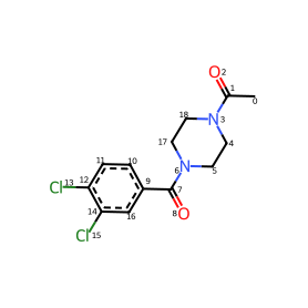 CC(=O)N1CCN(C(=O)c2ccc(Cl)c(Cl)c2)CC1